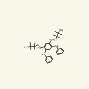 CC(C)(O)C(C)(C)OBc1cc(BOC(C)(C)C(C)(C)O)c(Nc2ccccc2)cc1Nc1ccccc1